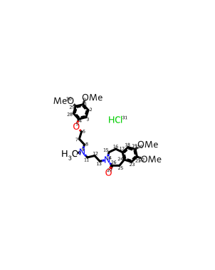 COc1ccc(OCCCN(C)CCCN2CCc3cc(OC)c(OC)cc3CC2=O)cc1OC.Cl